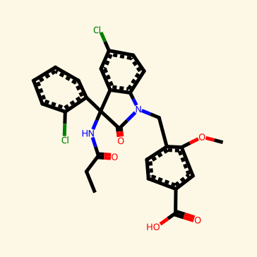 CCC(=O)NC1(c2ccccc2Cl)C(=O)N(Cc2ccc(C(=O)O)cc2OC)c2ccc(Cl)cc21